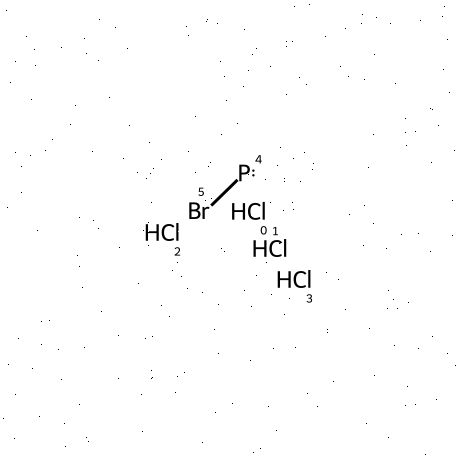 Cl.Cl.Cl.Cl.[P]Br